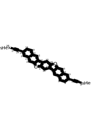 CCCCCCC#Cc1ccc2cc3c(cc2c1)oc1cc2c(cc13)oc1cc3cc(C#CCCCCCC)ccc3cc12